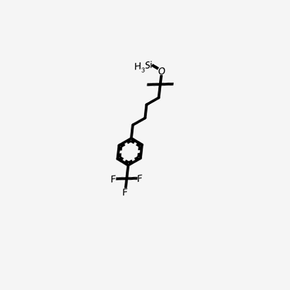 CC(C)(CCCCc1ccc(C(F)(F)F)cc1)O[SiH3]